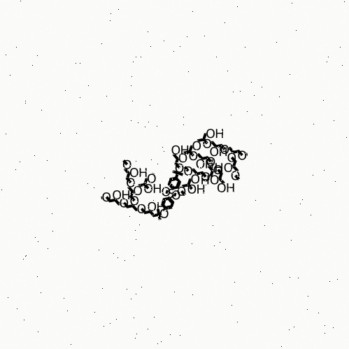 COCC(O)COCC(COCC(O)CC(C)(C)Oc1ccc(S(=O)(=O)c2ccc(C(C)(C)OCC(CO)OCC(COCC(CO)OCC(O)COCC(COC)OCC(O)COC)OCC(O)COCC(COCC(COC)OCC(O)COC)OCC(O)CO)cc2)cc1)OCC(COCC(O)COC)OCC(O)COC